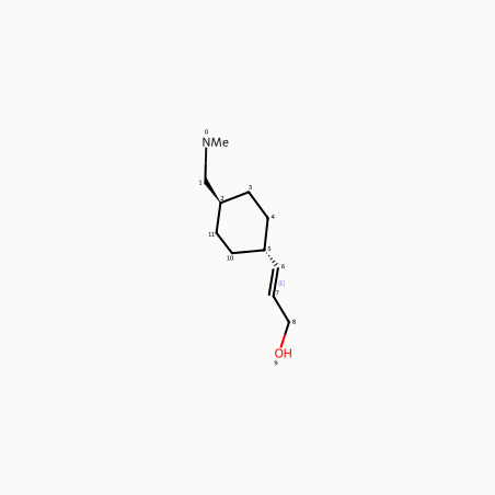 CNC[C@H]1CC[C@H](/C=C/CO)CC1